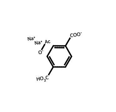 CC(=O)[O-].O=C([O-])c1ccc(C(=O)O)cc1.[Na+].[Na+]